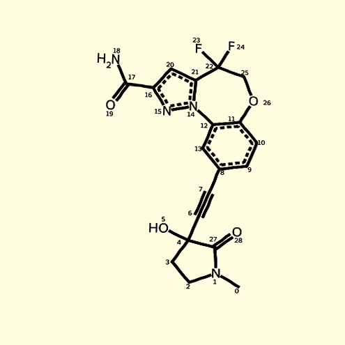 CN1CCC(O)(C#Cc2ccc3c(c2)-n2nc(C(N)=O)cc2C(F)(F)CO3)C1=O